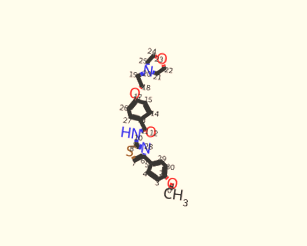 COc1ccc(-c2csc(NC(=O)c3ccc(OCCN4CCOCC4)cc3)n2)cc1